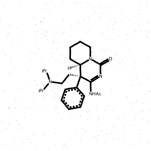 CC(=O)NC1=NC(=O)N2CCCC[C@@H]2[C@]1(CCN(C(C)C)C(C)C)c1ccccc1